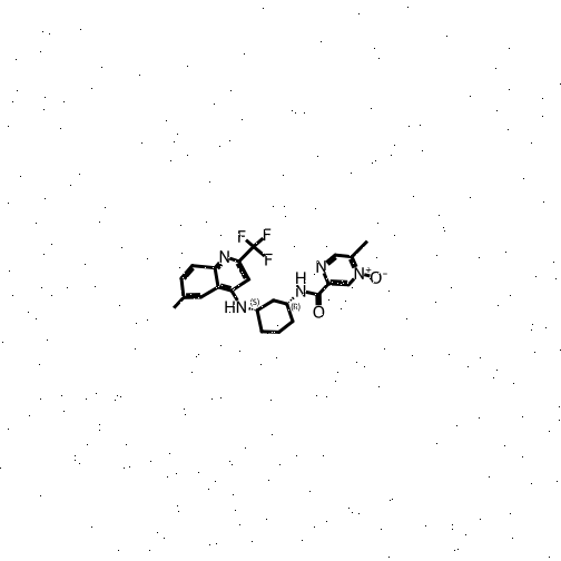 Cc1ccc2nc(C(F)(F)F)cc(N[C@H]3CCC[C@@H](NC(=O)c4c[n+]([O-])c(C)cn4)C3)c2c1